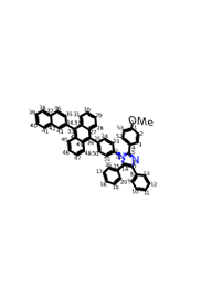 COc1ccc(-c2nc(-c3ccccc3)c(-c3ccccc3)n2-c2ccc(-c3c4ccccc4c(-c4ccc5ccccc5c4)c4ccccc34)cc2)cc1